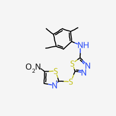 Cc1cc(C)c(Nc2nnc(Sc3ncc([N+](=O)[O-])s3)s2)cc1C